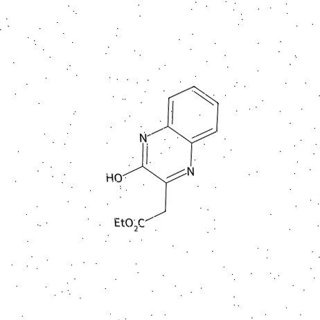 CCOC(=O)Cc1nc2ccccc2nc1O